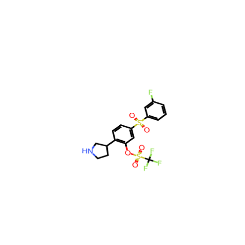 O=S(=O)(c1cccc(F)c1)c1ccc(C2CCNC2)c(OS(=O)(=O)C(F)(F)F)c1